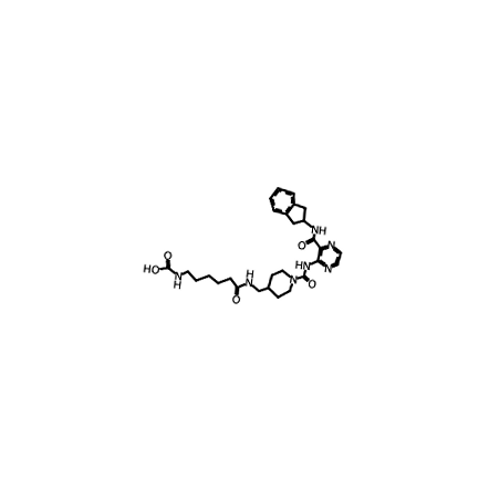 O=C(O)NCCCCCC(=O)NCC1CCN(C(=O)Nc2nccnc2C(=O)NC2Cc3ccccc3C2)CC1